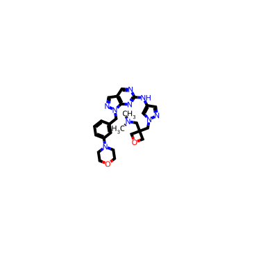 CN(C)CC1(Cn2cc(Nc3ncc4cnn(Cc5cccc(N6CCOCC6)c5)c4n3)cn2)COC1